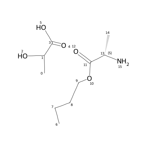 CC(O)C(=O)O.CCCCOC(=O)[C@H](C)N